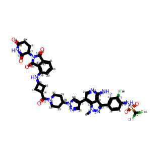 Cn1nc(-c2ccc(NS(=O)(=O)C(F)F)c(F)c2)c2c(N)ncc(-c3cnn(C4CCN(C(=O)C5CC(Nc6cccc7c6C(=O)N(C6CCC(=O)NC6=O)C7=O)C5)CC4)c3)c21